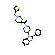 C=C(N1CCC(N2C3=CC=C(F)CC3N=C2c2ccccn2)CC1)C1(F)CCN(Cc2ccsc2)CC1